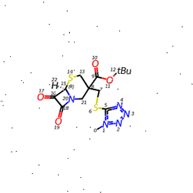 Cn1nnnc1SCC1(C(=O)OC(C)(C)C)CS[C@@H]2C(=O)C(=O)N2C1